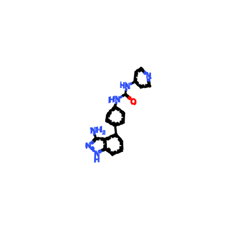 Nc1n[nH]c2cccc(-c3ccc(NC(=O)Nc4ccncc4)cc3)c12